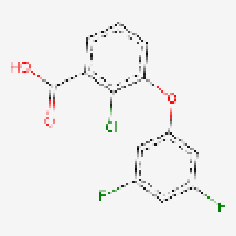 O=C(O)c1cccc(Oc2cc(F)cc(F)c2)c1Cl